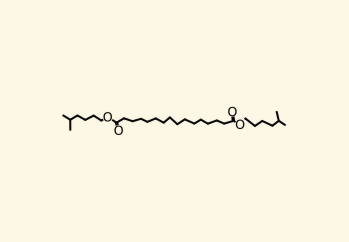 CC(C)CCCCOC(=O)CCCCCCCCCCCCCCC(=O)OCCCCC(C)C